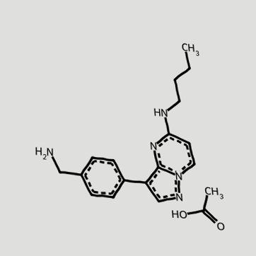 CC(=O)O.CCCCNc1ccn2ncc(-c3ccc(CN)cc3)c2n1